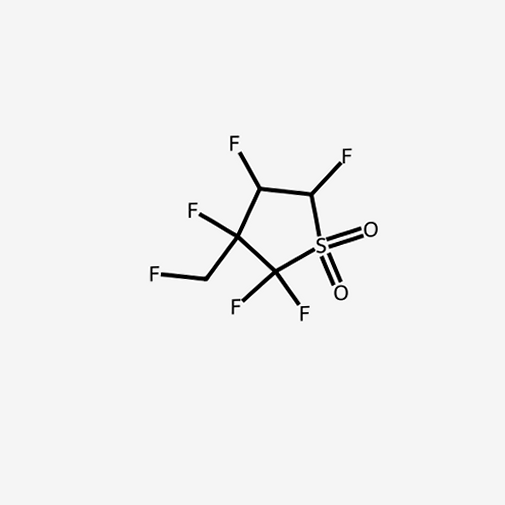 O=S1(=O)C(F)C(F)C(F)(CF)C1(F)F